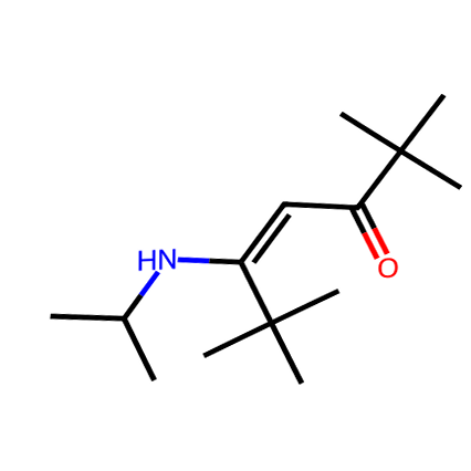 CC(C)NC(=CC(=O)C(C)(C)C)C(C)(C)C